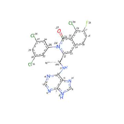 C[C@@H](Nc1ncnc2[nH]cnc12)c1cc2ccc(F)c(Cl)c2c(=O)n1-c1cc(Cl)cc(Cl)c1